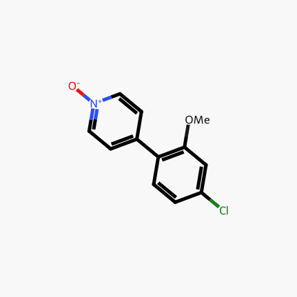 COc1cc(Cl)ccc1-c1cc[n+]([O-])cc1